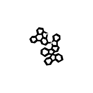 c1ccc2c(c1)-c1ccccc1C21c2ccccc2-c2c1ccc1c3ccccc3n(-c3ccc4c5ccccc5c5cccc6sc3c4c65)c21